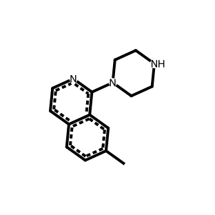 Cc1ccc2ccnc(N3CCNCC3)c2c1